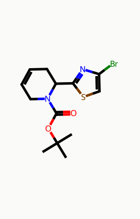 CC(C)(C)OC(=O)N1CC=CCC1c1nc(Br)cs1